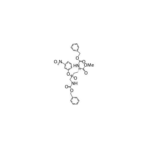 COC(=O)[C@H](CCP(=O)(CNC(=O)OCc1ccccc1)Oc1cccc([N+](=O)[O-])c1)NC(=O)OCc1ccccc1